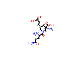 NC(=O)CC[C@H](N)C(=O)N1C[C@@H](CCB(O)O)C[C@](N)(C(=O)O)C1